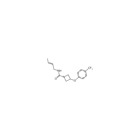 C/C=C/CNC(=O)N1CC(Oc2ccc(C(F)(F)F)cc2)C1